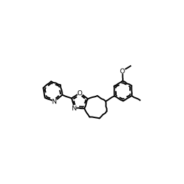 COc1cc(C)cc(C2CCCc3nc(-c4ccccn4)oc3C2)c1